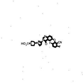 N#Cc1c(F)ccc(F)c1Oc1ccc2ncn(-c3ccn(C4CCN(C(=O)O)CC4)n3)c(=O)c2c1